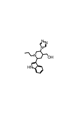 CCCN1CC(n2cnnc2)C(CO)CC1c1c[nH]c2ccccc12